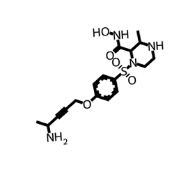 CC(N)C#CCOc1ccc(S(=O)(=O)N2CCNC(C)C2C(=O)NO)cc1